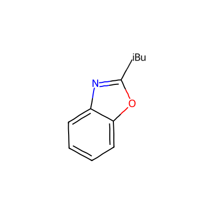 [CH2]C(CC)c1nc2ccccc2o1